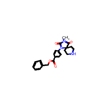 CN1C(=O)N(c2ccc(C(=O)OCc3ccccc3)cc2)C2(CCNCC2)C1=O